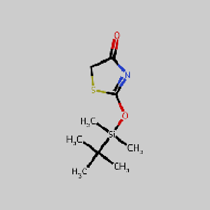 CC(C)(C)[Si](C)(C)OC1=NC(=O)CS1